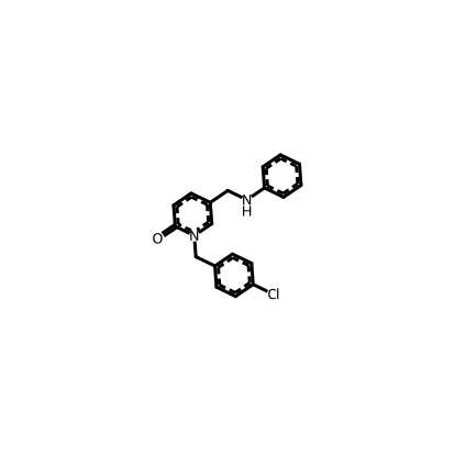 O=c1ccc(CNc2ccccc2)cn1Cc1ccc(Cl)cc1